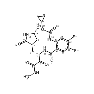 CNC(=O)C(=O)[C@H](C[C@@H]1C[C@@H](C)NC1=O)NC(=O)c1cc(F)c(F)cc1NC(=O)OC1CC1